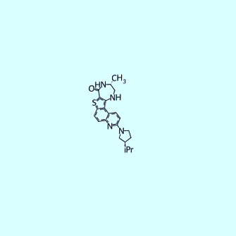 CC(C)[C@@H]1CCN(c2ccc3c(ccc4sc5c(c43)NC[C@@H](C)NC5=O)n2)C1